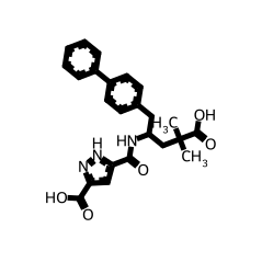 CC(C)(CC(Cc1ccc(-c2ccccc2)cc1)NC(=O)c1cc(C(=O)O)n[nH]1)C(=O)O